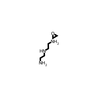 C1CO1.NCCNCCN